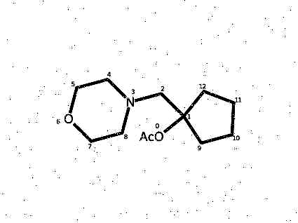 CC(=O)OC1(CN2CCOCC2)CCCC1